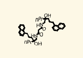 CCCC(O)(CCCc1cccc2ccccc12)CNC(=O)CC(=O)NCC(O)(CCC)CCCc1cccc2ccccc12